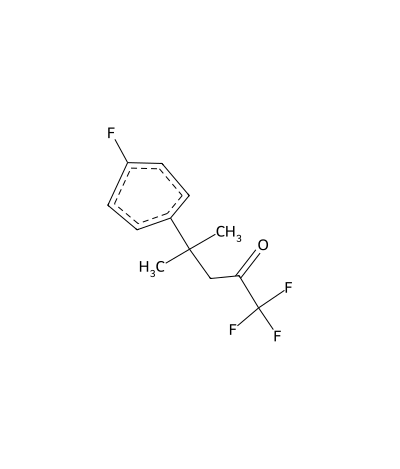 CC(C)(CC(=O)C(F)(F)F)c1ccc(F)cc1